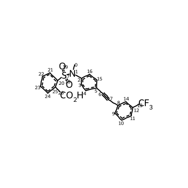 CN(c1ccc(C#Cc2cccc(C(F)(F)F)c2)cc1)S(=O)(=O)c1ccccc1C(=O)O